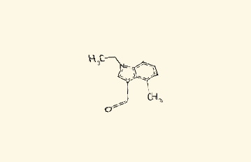 CCn1cc(C=O)c2c(C)cccc21